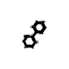 C1=NCNC(c2ncncn2)=N1